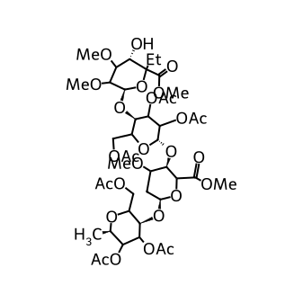 CCC1(C(=O)OC)O[C@@H](O[C@@H]2C(COC(C)=O)O[C@@H](O[C@@H]3C(OC)C[C@H](O[C@@H]4C(COC(C)=O)O[C@H](C)C(OC(C)=O)C4OC(C)=O)OC3C(=O)OC)C(OC(C)=O)C2OC(C)=O)C(OC)C(OC)[C@@H]1O